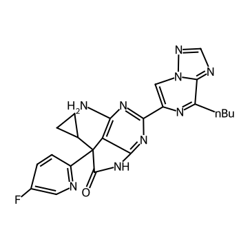 CCCCc1nc(-c2nc(N)c3c(n2)NC(=O)C3(c2ccc(F)cn2)C2CC2)cn2ncnc12